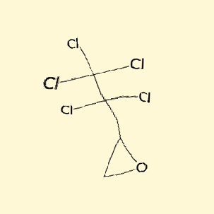 ClC(Cl)(Cl)C(Cl)(Cl)C1CO1